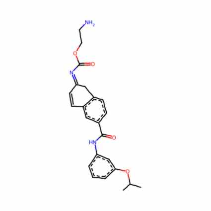 CC(C)Oc1cccc(NC(=O)c2ccc3c(c2)C=CC(=NC(=O)OCCN)C3)c1